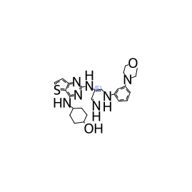 N=C/C(=C\Nc1cccc(N2CCOCC2)c1)Nc1nc(NC2CCC(O)CC2)c2sccc2n1